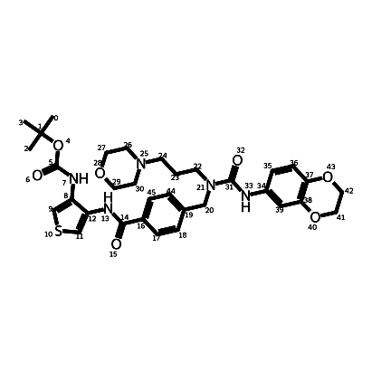 CC(C)(C)OC(=O)Nc1cscc1NC(=O)c1ccc(CN(CCCN2CCOCC2)C(=O)Nc2ccc3c(c2)OCCO3)cc1